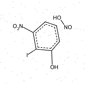 O=NO.O=[N+]([O-])c1cccc(O)c1I